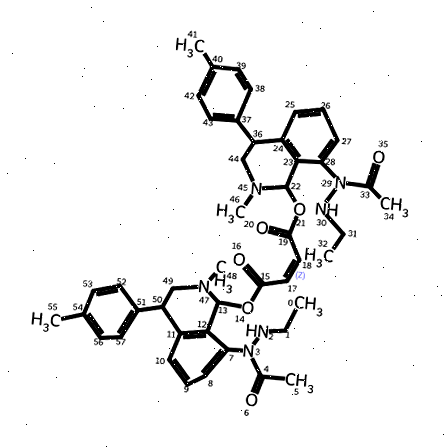 CCNN(C(C)=O)c1cccc2c1C(OC(=O)/C=C\C(=O)OC1c3c(cccc3N(NCC)C(C)=O)C(c3ccc(C)cc3)CN1C)N(C)CC2c1ccc(C)cc1